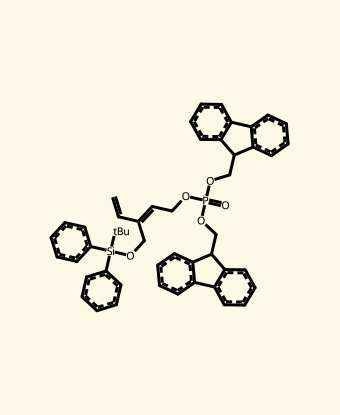 C=CC(=CCOP(=O)(OCC1c2ccccc2-c2ccccc21)OCC1c2ccccc2-c2ccccc21)CO[Si](c1ccccc1)(c1ccccc1)C(C)(C)C